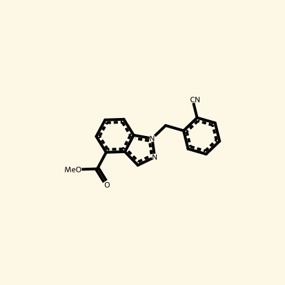 COC(=O)c1cccc2c1cnn2Cc1ccccc1C#N